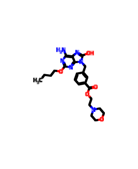 CCCCOc1nc(N)c2nc(O)n(Cc3cccc(C(=O)OCCN4CCOCC4)c3)c2n1